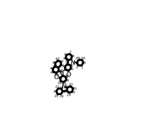 c1ccc(-n2c3ccccc3c3cc4c(cc32)Oc2cc(-n3c5ccccc5c5ccccc53)cc3c2B4c2c(ccc4ccccc24)O3)cc1